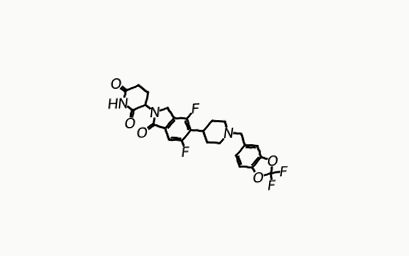 O=C1CCC(N2Cc3c(cc(F)c(C4CCN(Cc5ccc6c(c5)OC(F)(F)O6)CC4)c3F)C2=O)C(=O)N1